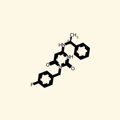 C[C@H](Nc1cc(=O)n(Cc2ccc(F)cc2)c(=O)[nH]1)c1ccccc1